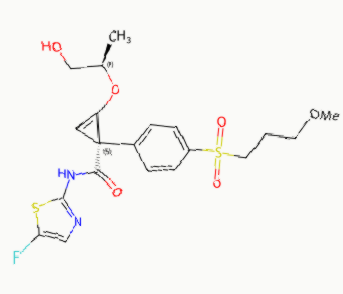 COCCCS(=O)(=O)c1ccc([C@@]2(C(=O)Nc3ncc(F)s3)C=C2O[C@H](C)CO)cc1